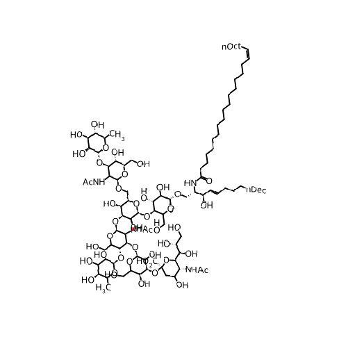 CCCCCCCC/C=C\CCCCCCCCCCCCCCCC(=O)N[C@@H](CO[C@@H]1OC(CO)[C@@H](O[C@@H]2OC(CO[C@@H]3OC(CO)[C@@H](O)[C@H](O[C@H]4OC(C)[C@@H](O)C(O)[C@@H]4O)C3NC(C)=O)[C@H](O)[C@H](O[C@@H]3OC(CO)[C@@H](O[C@H]4OC(C)[C@@H](O)C(O)[C@@H]4O)[C@H](O[C@@H]4OC(CO)[C@H](O)[C@H](O[C@]5(C(=O)O)CC(O)[C@@H](NC(C)=O)C([C@H](O)[C@H](O)CO)O5)C4O)C3NC(C)=O)C2O)[C@H](O)C1O)[C@H](O)/C=C/CCCCCCCCCCCCC